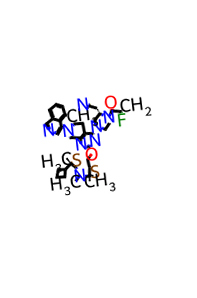 C=C(F)C(=O)N1CCN(c2nc(OCC3S[C@]3(C)N(C)C3S[C@@]3(C)C3CCC3)nc3c2CCN(c2cncc4cccc(C)c24)C3)C[C@@H]1CC#N